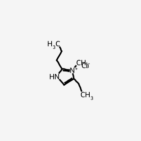 CCCc1[nH]cc(CC)[n+]1C.[Cl-]